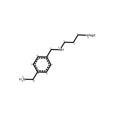 CCCCCCCCCCNCc1ccc(CN)cc1